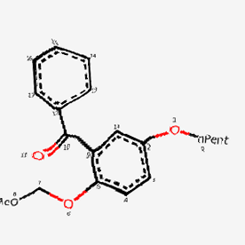 CCCCCOc1ccc(OCOC)c(C(=O)c2ccccc2)c1